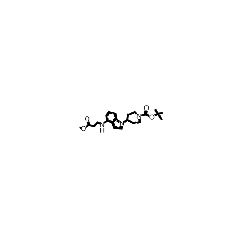 COC(=O)CCNc1cccc2c1ccn2C1CCN(C(=O)OC(C)(C)C)CC1